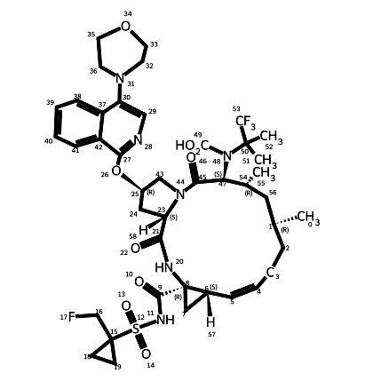 C[C@@H]1CCC=C[C@@H]2C[C@@]2(C(=O)NS(=O)(=O)C2(CF)CC2)NC(=O)[C@@H]2C[C@@H](Oc3ncc(N4CCOCC4)c4ccccc34)CN2C(=O)[C@@H](N(C(=O)O)C(C)(C)C(F)(F)F)[C@H](C)C1